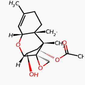 [CH2][C@]12CCC(C)=C[C@H]1O[C@@H]1[C@H](O)[C@@H](OC(C)=O)[C@@]2(C)[C@]12CO2